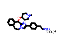 CN1CCC(OC2c3ccccc3CCn3cc(-c4ccc(CCNC(=O)O)cc4)nc32)CC1